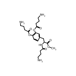 COC(=O)C(Cc1ccc(OC(=O)CCCN)c(OC(=O)CCCN)c1)NC(=O)CCCN